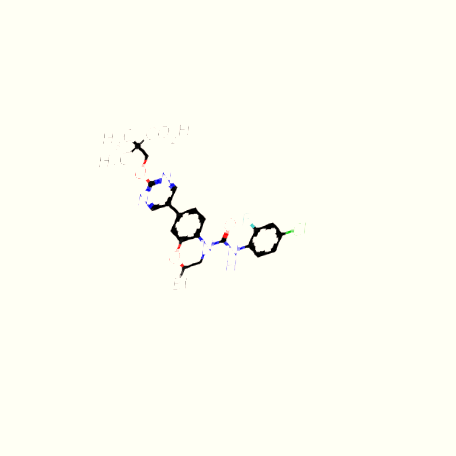 CCC1CN(C(=O)Nc2ccc(Cl)cc2F)c2ccc(-c3cnc(OCC(C)(C)C(=O)O)nc3)cc2O1